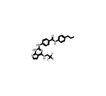 CCCc1ccc(NC(=O)c2ccc(Nc3nc(NCC(F)(F)F)c4ccnc-4[nH]3)cc2)cc1